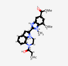 COC(=O)c1cc(OC)c2c(c1)nc(-c1cc3cccc4c3n1CCN4C(=O)COC(C)=O)n2C